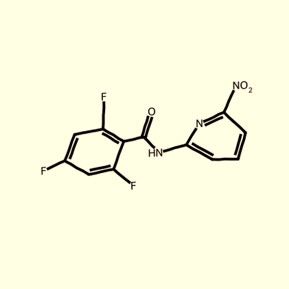 O=C(Nc1cccc([N+](=O)[O-])n1)c1c(F)cc(F)cc1F